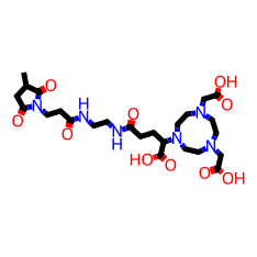 CC1CC(=O)N(CCC(=O)NCCNC(=O)CCC(C(=O)O)N2CCN(CC(=O)O)CCN(CC(=O)O)CC2)C1=O